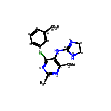 COc1nc(C)nc(Cl)c1NC1=NCCN1.O=C(O)c1ccccc1